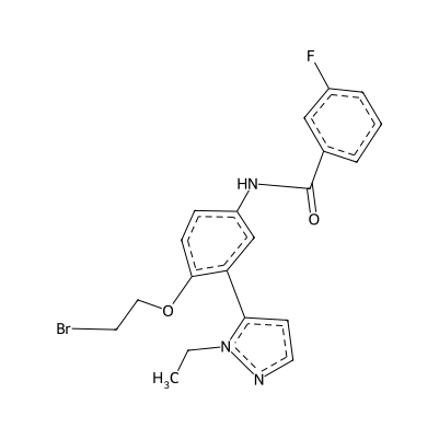 CCn1nccc1-c1cc(NC(=O)c2cccc(F)c2)ccc1OCCBr